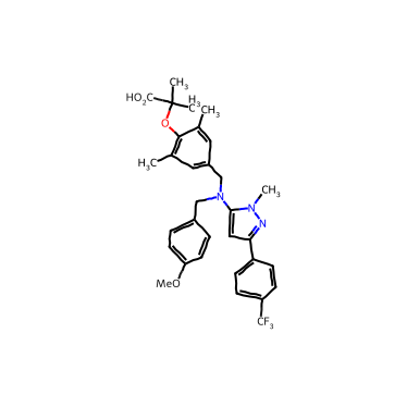 COc1ccc(CN(Cc2cc(C)c(OC(C)(C)C(=O)O)c(C)c2)c2cc(-c3ccc(C(F)(F)F)cc3)nn2C)cc1